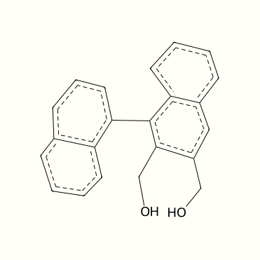 OCc1cc2ccccc2c(-c2cccc3ccccc23)c1CO